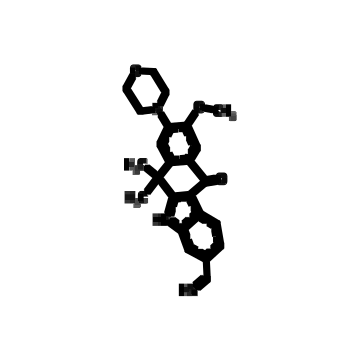 COc1cc2c(cc1N1CCOCC1)C(C)(C)c1[nH]c3cc(C=N)ccc3c1C2=O